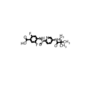 CC(C)(C)C(=O)Nc1ccc([S+]([O-])Nc2cc(F)c(C(=O)O)cc2F)nc1